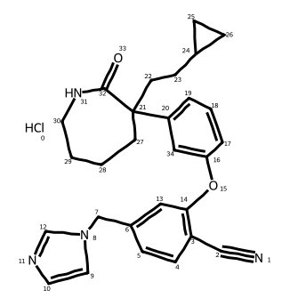 Cl.N#Cc1ccc(Cn2ccnc2)cc1Oc1cccc(C2(CCC3CC3)CCCCNC2=O)c1